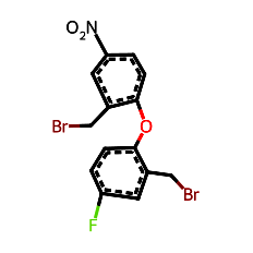 O=[N+]([O-])c1ccc(Oc2ccc(F)cc2CBr)c(CBr)c1